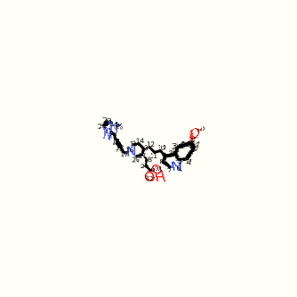 COc1ccc2nccc(CCC[C@@H]3CCN(CC#Cc4nccn4C)C[C@@H]3CCC(=O)O)c2c1